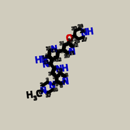 CN1CCN(c2cncc3[nH]c(-c4n[nH]c5cnc(-c6cncc(OC7CCNCC7)c6)cc45)cc23)CC1